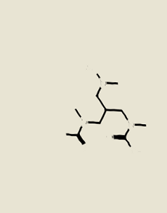 CC(=O)N(C)CC(CN(C)C(=O)C(F)(F)F)CN(C)C(=O)C(F)(F)F